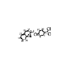 O=C(Cl)c1ccc(OCc2ccc3ccccc3n2)cc1